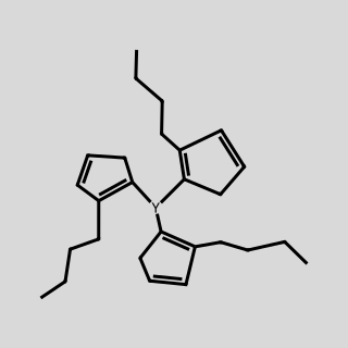 CCCCC1=[C]([Y]([C]2=C(CCCC)C=CC2)[C]2=C(CCCC)C=CC2)CC=C1